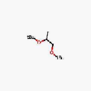 CC(COC(C)(C)C)OC(C)(C)C